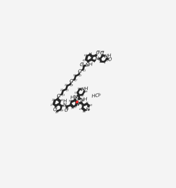 Cl.O=C1CCC(N2Cc3c(NC(=O)COCCCOCCCCCOc4ccc5c(c4)[C@H](NC(=O)c4cccc(NC6(c7nnc(-c8ccncc8)[nH]7)CCNCC6)c4)CCO5)cccc3C2=O)C(=O)N1